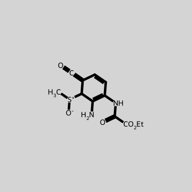 CCOC(=O)C(=O)NC1=C(N)C([S+](C)[O-])C(=C=O)C=C1